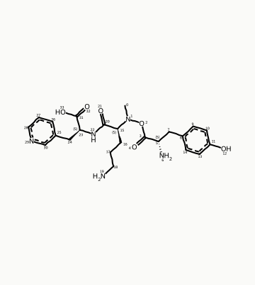 CN(OC(=O)[C@@H](N)Cc1ccc(O)cc1)[C@@H](CCCN)C(=O)N[C@@H](Cc1cccnc1)C(=O)O